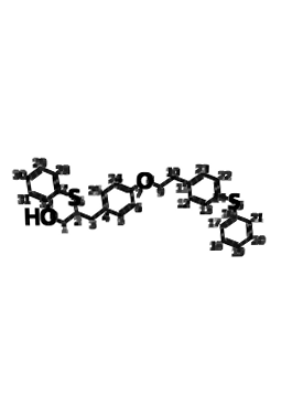 OCC(Cc1ccc(OCCc2ccc(Sc3ccccc3)cc2)cc1)Sc1ccccc1